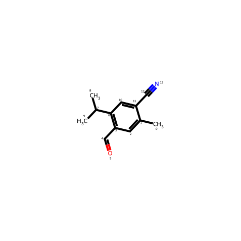 Cc1cc(C=O)c(C(C)C)cc1C#N